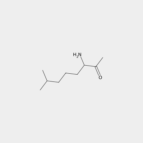 CC(=O)C(N)CCCC(C)C